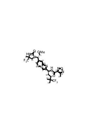 COC[C@H](c1cnn2cc([C@H](CCC(C)(C)C(F)(F)F)NC(=O)c3nonc3C)nc2c1)N1C[C@@](C)(C(F)(F)F)NC1=O